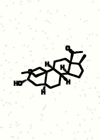 COC[C@]12CC[C@@H](O)C[C@@H]1CC[C@@H]1[C@@H]2CC[C@]2(C(C)=O)[C@@H](C)CC[C@@H]12